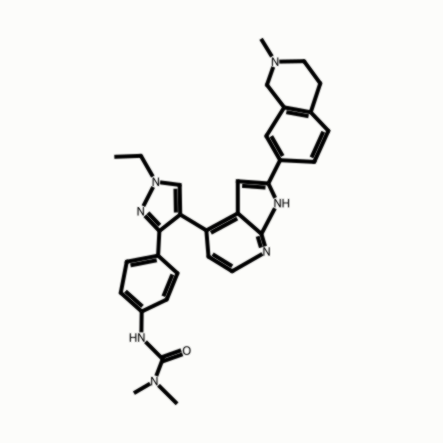 CCn1cc(-c2ccnc3[nH]c(-c4ccc5c(c4)CN(C)CC5)cc23)c(-c2ccc(NC(=O)N(C)C)cc2)n1